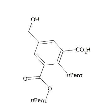 CCCCCOC(=O)c1cc(CO)cc(C(=O)O)c1CCCCC